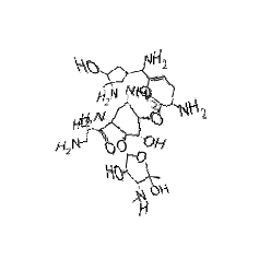 CN[C@@H]1[C@@H](O)[C@@H](O[C@@H]2[C@@H](O)[C@H](O[C@H]3OC(C(N)[C@@H]4CC(O)C(C)(N)C4)=CC[C@H]3N)[C@@H](N)C[C@]2(N)C(=O)[C@@H](O)CN)OC[C@]1(C)O